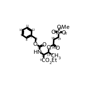 CCOC(=O)C(NC(=O)OCc1ccccc1)C(C)OC(=O)CCS(=O)(=O)OC